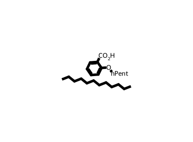 CCCCCCCCCCCC.CCCCCOc1ccccc1C(=O)O